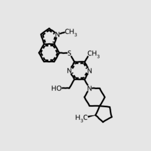 Cc1nc(N2CCC3(CCC[C@H]3C)CC2)c(CO)nc1Sc1cccc2ccn(C)c12